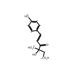 O=C(O)CC(O)(C(=O)O)C(=O)C=Cc1ccc(O)cc1